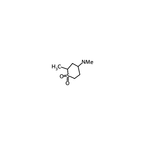 CNC1CCS(=O)(=O)C(C)C1